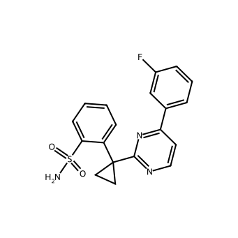 NS(=O)(=O)c1ccccc1C1(c2nccc(-c3cccc(F)c3)n2)CC1